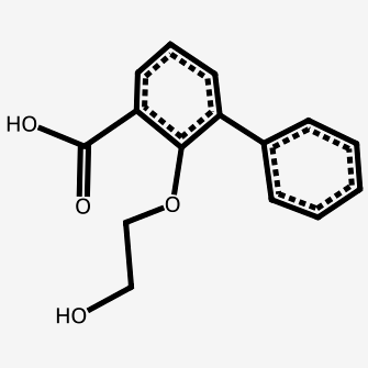 O=C(O)c1cccc(-c2ccccc2)c1OCCO